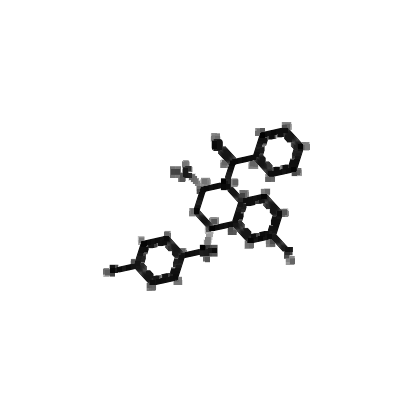 C[C@H]1C[C@@H](Nc2ccc(F)cc2)c2cc(F)ccc2N1C(=O)c1ccccc1